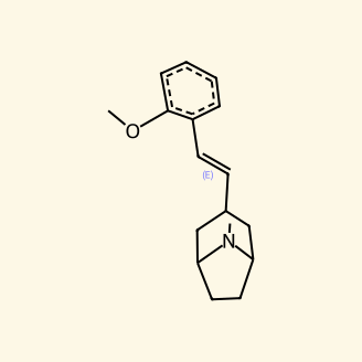 COc1ccccc1/C=C/C1CC2CCC(C1)N2C